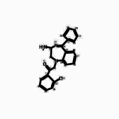 NC1CN(CC(=O)c2ccccc2Cl)c2ccccc2C(c2ccccc2)=N1